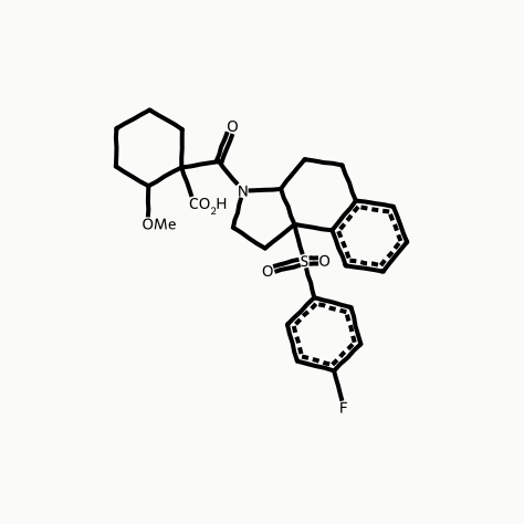 COC1CCCCC1(C(=O)O)C(=O)N1CCC2(S(=O)(=O)c3ccc(F)cc3)c3ccccc3CCC12